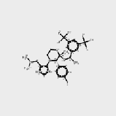 C[C@@H](O[C@@]1(C)OCCN(c2nc[nH]c2CN(C)C)[C@H]1c1ccc(F)cc1)c1cc(C(F)(F)F)cc(C(F)(F)F)c1